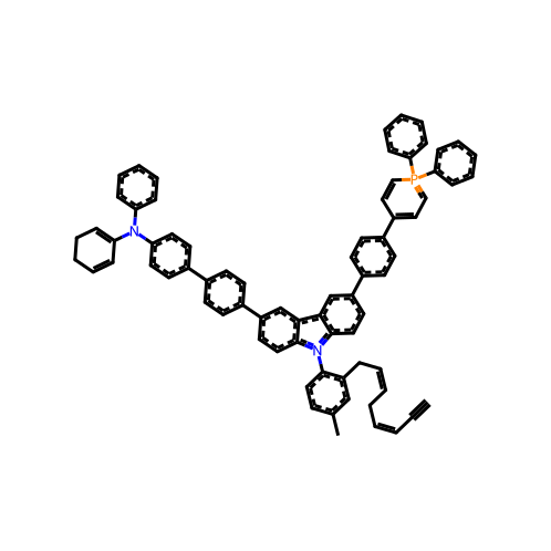 C#C/C=C\C/C=C\Cc1cc(C)ccc1-n1c2ccc(-c3ccc(C4=CC=P(c5ccccc5)(c5ccccc5)C=C4)cc3)cc2c2cc(-c3ccc(-c4ccc(N(C5=CCCC=C5)c5ccccc5)cc4)cc3)ccc21